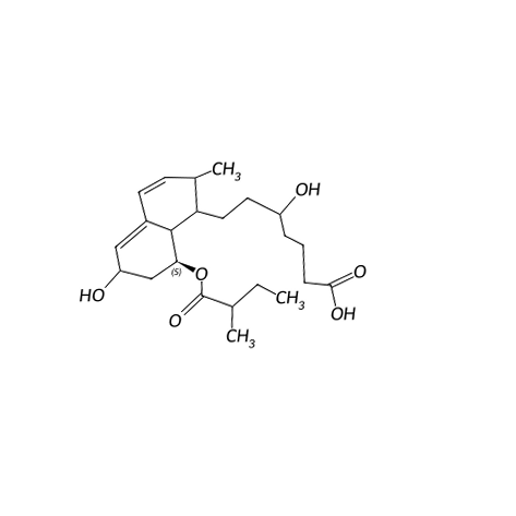 CCC(C)C(=O)O[C@H]1CC(O)C=C2C=CC(C)C(CCC(O)CCCC(=O)O)C21